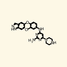 Nc1nc(Nc2ccc(Oc3ccc4[nH]ncc4c3)c(Cl)c2)cc(N2CCNCC2)n1